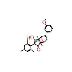 COc1cccc([C@@H]2CC3OC2[C@@]2(C)C(O)=C(c4c(C)cc(C)cc4C)C(=O)[C@@]32C)c1